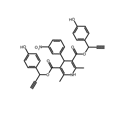 C#CC(OC(=O)C1=C(C)NC(C)=C(C(=O)OC(C#C)c2ccc(O)cc2)C1c1cccc([N+](=O)[O-])c1)c1ccc(O)cc1